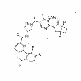 COc1c(N2C[C@H]3CC[C@H]3C2=O)ncc(C(C)n2cc(NC(=O)c3cncc(-c4c(C(F)F)ccc(Cl)c4F)n3)cn2)c1C